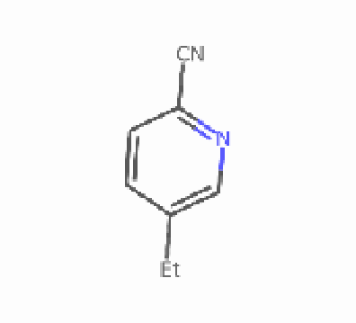 [CH2]Cc1ccc(C#N)nc1